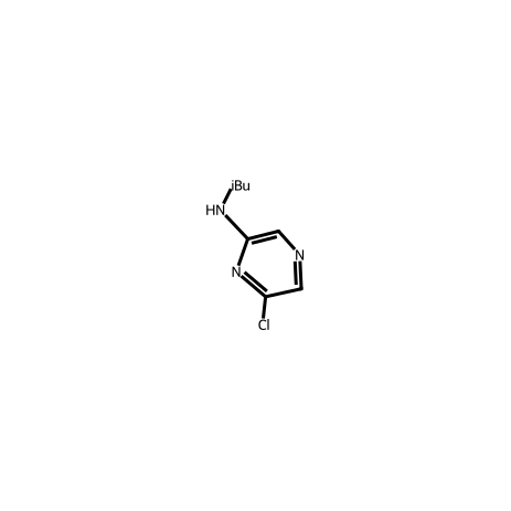 CCC(C)Nc1cncc(Cl)n1